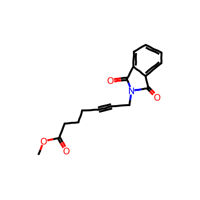 COC(=O)CCCC#CCN1C(=O)c2ccccc2C1=O